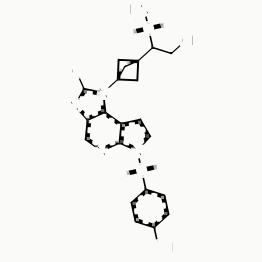 CCC(C12CC(n3c(C)nc4cnc5c(ccn5S(=O)(=O)c5ccc(C)cc5)c43)(C1)C2)S(N)(=O)=O